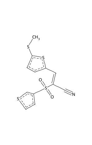 CSc1ccc(C=C(C#N)S(=O)(=O)c2ccsc2)s1